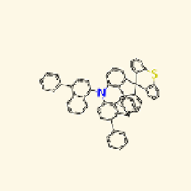 c1ccc(-c2ccc(N(c3cccc4c3-c3ccccc3C43c4ccccc4Sc4ccccc43)c3ccc(-c4ccccc4)c4ccccc34)c3ccccc23)cc1